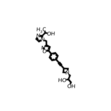 CC(O)c1nccn1Cc1cc(-c2ccc(C#CC3CN(CC(O)CO)C3)cc2)on1